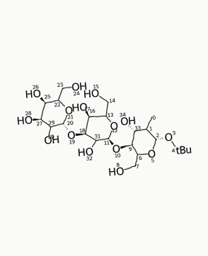 CC1[C@H](OC(C)(C)C)OC(CO)[C@@H](O[C@@H]2OC(CO)[C@H](O)[C@H](O[C@H]3OC(CO)[C@H](O)[C@H](O)C3O)C2O)[C@@H]1O